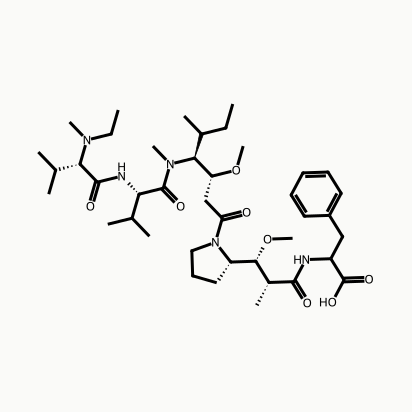 CCC(C)[C@@H]([C@@H](CC(=O)N1CCC[C@H]1[C@H](OC)[C@@H](C)C(=O)NC(Cc1ccccc1)C(=O)O)OC)N(C)C(=O)[C@@H](NC(=O)[C@H](C(C)C)N(C)CC)C(C)C